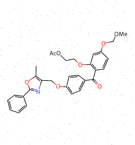 COCOc1ccc(C(=O)c2ccc(OCc3nc(-c4ccccc4)oc3C)cc2)c(OCCOC(C)=O)c1